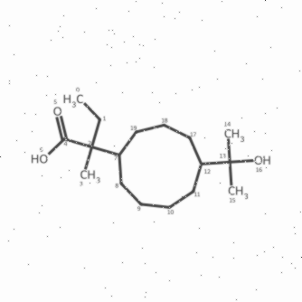 CCC(C)(C(=O)O)C1CCCCC(C(C)(C)O)CCC1